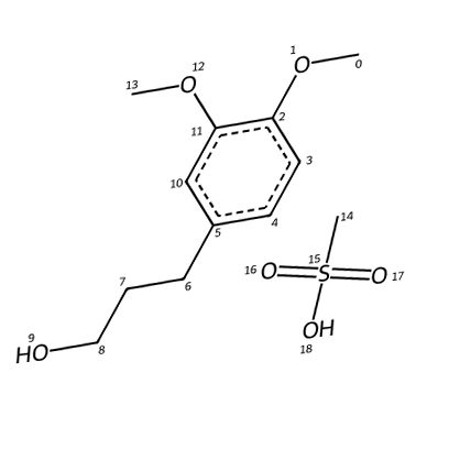 COc1ccc(CCCO)cc1OC.CS(=O)(=O)O